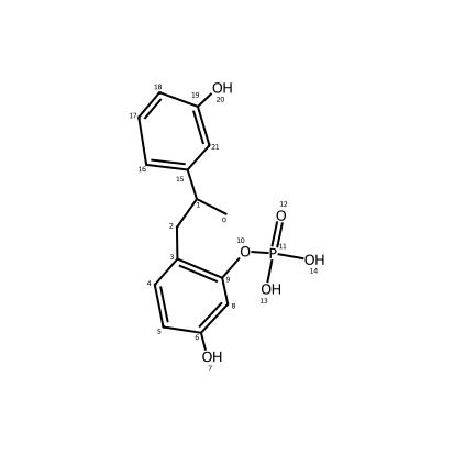 CC(Cc1ccc(O)cc1OP(=O)(O)O)c1cccc(O)c1